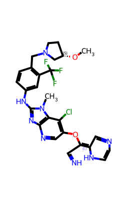 CO[C@H]1CCN(Cc2ccc(Nc3nc4ncc(O/C(C=N)=C5\C=NC=CN5)c(Cl)c4n3C)cc2C(F)(F)F)C1